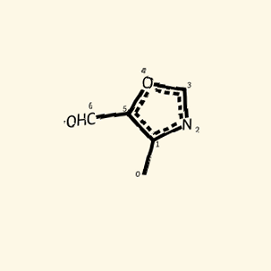 Cc1ncoc1[C]=O